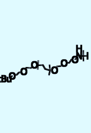 CC(C)(I)NOCCOCCOC(C)(C)CCC(C)(C)OCCOCCOC(C)(C)C